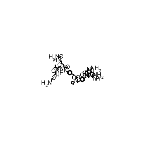 C=C(C)[C@H](NC(=O)CCOCCN)C(=O)N[C@@H](CCCNC(N)=O)C(=O)Nc1ccc(COC(=O)N(Cc2ccc(Cn3ncc4nc(N)nc(NC(N)CCC)c43)c(OC)c2)C2CCC2)cc1